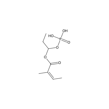 CC=C(C)C(=O)OC(CC)OP(=O)(O)O